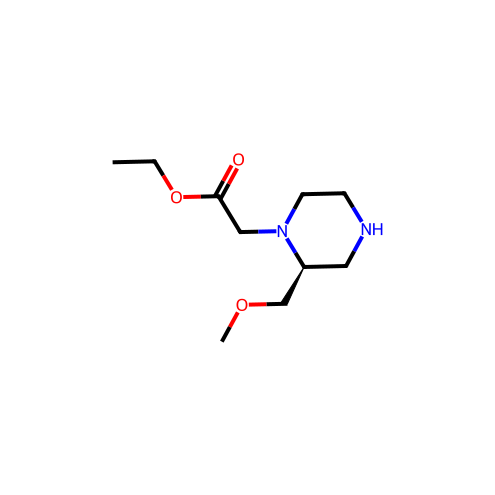 CCOC(=O)CN1CCNC[C@H]1COC